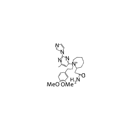 COc1ccc(CC[N+]2(c3cc(C)nc(-n4ccnc4)n3)CCCCCC2CC(N)=O)cc1OC